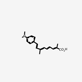 CC(C=Cc1ccc(N(C)C)cc1)=CC=CC=C(C)C(=O)O